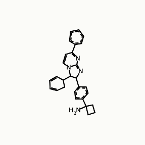 NC1(c2ccc(C3N=C4N=C(c5ccccc5)C=CN4C3C3C=CC=CC3)cc2)CCC1